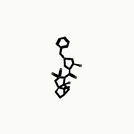 CC[C@@H]1CN(Cc2ccccc2)C[C@@H]1C(=O)N1[C@@H]2CC3CC[C@]2(CS1(=O)=O)C3(C)C